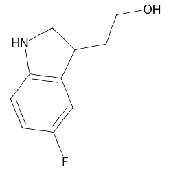 OCCC1CNc2ccc(F)cc21